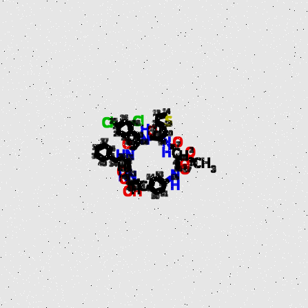 CC(=O)O[C@@H]1CC(=O)N[C@H](Cc2cccs2)C(=O)N[C@@H](Cc2ccc(Cl)cc2Cl)C(=O)N[C@H](CCc2ccccc2)C(=O)N[C@@H](C(=O)O)Cc2ccc(cc2)NC1=O